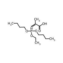 CCCCO[PH](C=C(C)C(=O)O)(OCC)OCCCC